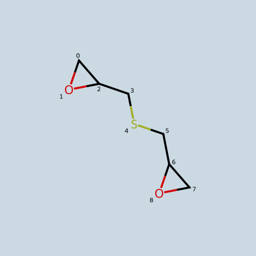 C1OC1CSCC1CO1